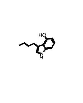 CCCCc1c[nH]c2cccc(O)c12